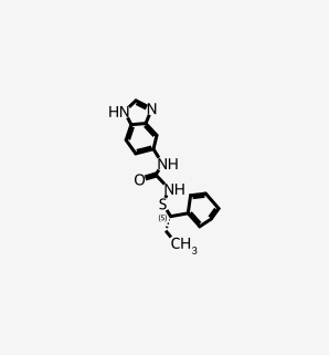 CC[C@H](SNC(=O)Nc1ccc2[nH]cnc2c1)c1ccccc1